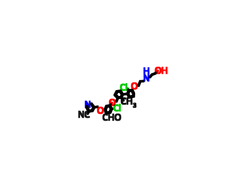 Cc1c(COc2cc(OCc3cncc(C#N)c3)c(C=O)cc2Cl)cccc1-c1cccc(OCCCNCCCO)c1Cl